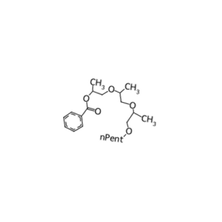 CCCCCOCC(C)OCC(C)OCC(C)OC(=O)c1ccccc1